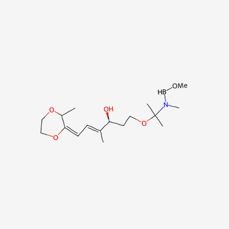 COBN(C)C(C)(C)OCC[C@H](O)/C(C)=C/C=C1/OCCOC1C